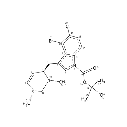 C[C@@H]1C=C[C@@H](Cc2cn(C(=O)OC(C)(C)C)c3ccc(Cl)c(Br)c23)N(C)C1